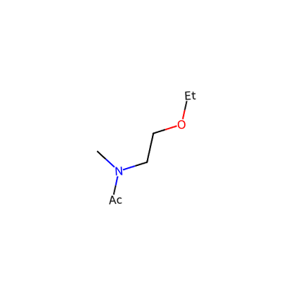 CCOCCN(C)C(C)=O